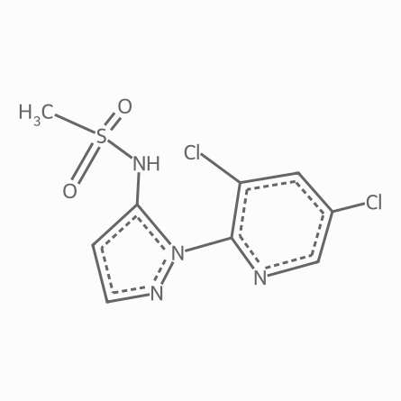 CS(=O)(=O)Nc1ccnn1-c1ncc(Cl)cc1Cl